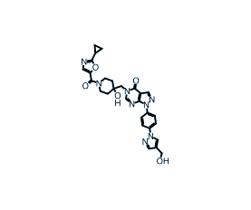 O=C(c1cnc(C2CC2)o1)N1CCC(O)(Cn2cnc3c(cnn3-c3ccc(-n4cc(CO)cn4)cc3)c2=O)CC1